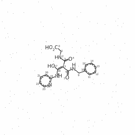 O=C(O)CNC(=O)/C(C(=O)NCc1ccccc1)=C(\O)Nc1ccccn1